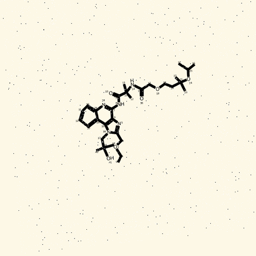 CCOCc1nc2c(NC(=O)C(C)(C)NC(=O)COCCC(C)(C)OC(C)C)nc3ccccc3c2n1CC(C)(C)O